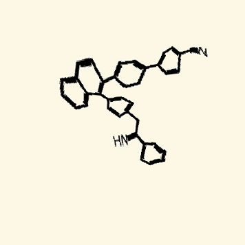 N#Cc1ccc(C2=CC=C(c3ccc4ccccc4c3-c3ccc(CC(=N)c4ccccc4)cc3)CC2)cc1